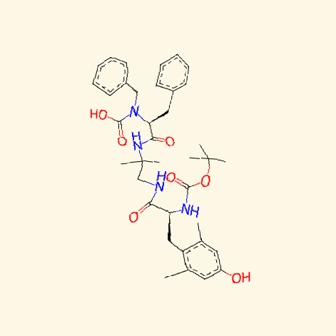 Cc1cc(O)cc(C)c1C[C@H](NC(=O)OC(C)(C)C)C(=O)NCC(C)(C)NC(=O)[C@H](Cc1ccccc1)N(Cc1ccccc1)C(=O)O